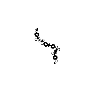 CCOc1ccc(C(=O)OOC(=O)OC2CCC(C(C)(C)C3CCC(OC(=O)OOC(=O)c4ccc(OCC)cc4)CC3)CC2)cc1